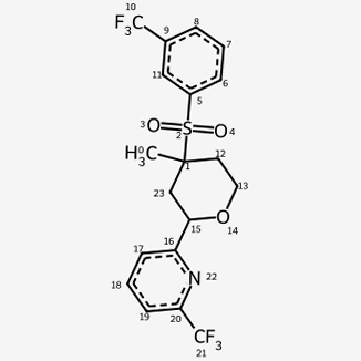 CC1(S(=O)(=O)c2cccc(C(F)(F)F)c2)CCOC(c2cccc(C(F)(F)F)n2)C1